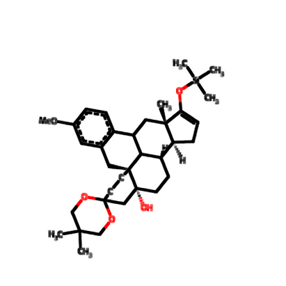 COc1ccc2c(c1)C[C@]13CCC4(C[C@]1(O)CC[C@@H]1C3C2C[C@]2(C)C(O[Si](C)(C)C)=CC[C@@H]12)OCC(C)(C)CO4